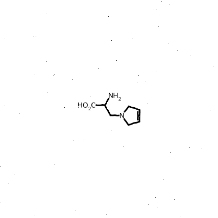 NC(CN1CC=CC1)C(=O)O